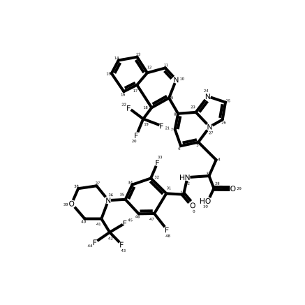 O=C(NC(Cc1ccc(-c2ncc3ccccc3c2C(F)(F)F)c2nccn12)C(=O)O)c1c(F)cc(N2CCOCC2C(F)(F)F)cc1F